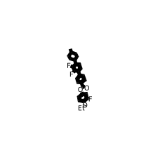 CCOc1ccc(OC(=O)c2ccc(-c3ccc(C4CCC(C)CC4)c(F)c3F)cc2)cc1F